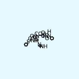 O=C(CN1CCC(=CC2=C(C(=O)O)N3C(=O)[C@@H](NC(=O)CSc4ccccc4)[C@H]3SC2)C1=O)Nc1ccccc1.c1c[nH]cn1